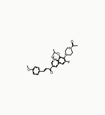 COc1ccc(C=CC(=O)c2cc3cc(F)c(N4CCN(C(C)=O)CC4)c(OC(C)C)c3[n+]([O-])c2)cc1